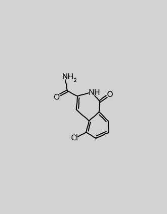 NC(=O)c1cc2c(Cl)[c]ccc2c(=O)[nH]1